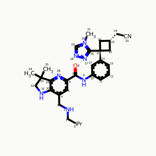 CC(C)CNCc1cc(C(=O)Nc2cccc([C@]3(c4nncn4C)C[C@@H](CC#N)C3)c2)nc2c1NCC2(C)C